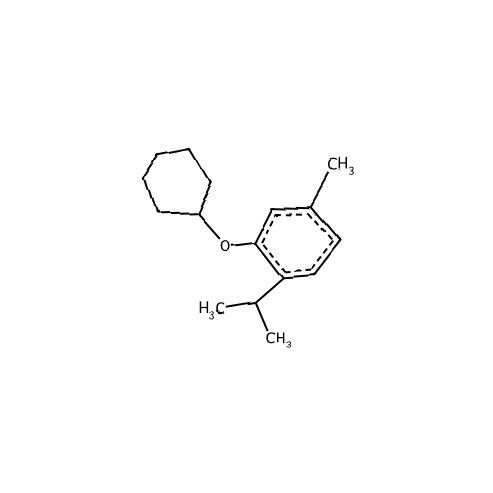 Cc1ccc(C(C)C)c(OC2CCCCC2)c1